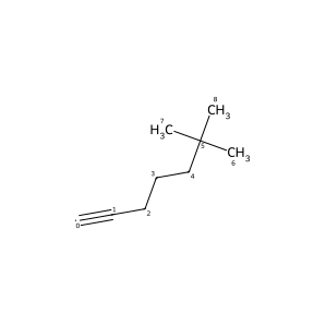 [C]#CCCCC(C)(C)C